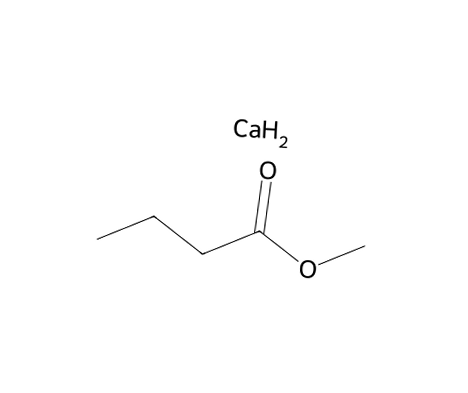 CCCC(=O)OC.[CaH2]